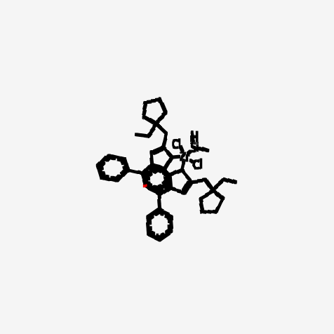 CCC1(CC2=Cc3c(-c4ccccc4)cccc3[CH]2[Zr]([Cl])([Cl])([CH]2C(CC3(CC)CCCC3)=Cc3c(-c4ccccc4)cccc32)[SiH](C)C)CCCC1